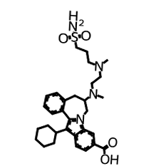 CN(CCCS(N)(=O)=O)CCN(C)C1Cc2ccccc2-c2c(C3CCCCC3)c3ccc(C(=O)O)cc3n2C1